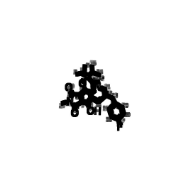 CC(C)[Si](Oc1c2c(c(O)c3cc(Cc4ccc(F)cc4)cnc13)C(=O)N(C)C2=O)(C(C)C)C(C)C